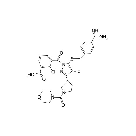 N=C(N)c1ccc(CSc2c(F)c(C3CCN(C(=O)N4CCOCC4)C3)nn2C(=O)c2cccc(C(=O)O)c2Cl)cc1